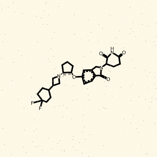 O=C1CCC(N2Cc3cc(O[C@@H]4CCC[C@H]4N4CC(C5CCC(F)(F)CC5)C4)ccc3C2=O)C(=O)N1